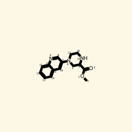 COC(=O)C1CN(c2cnc3ccccc3c2)CCN1